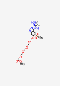 Cc1[nH]nc(Nc2ncnc3cc(OCCOCCOCCOCCOCC(=O)OC(C)(C)C)c(S(=O)(=O)C(C)(C)C)cc23)c1C